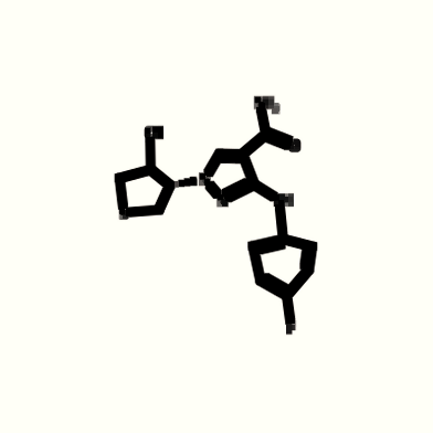 N#CC1CSC[C@H]1n1cc(C(N)=O)c(Nc2ccc(F)cc2)n1